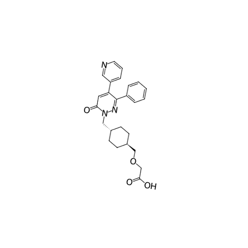 O=C(O)COC[C@H]1CC[C@H](Cn2nc(-c3ccccc3)c(-c3cccnc3)cc2=O)CC1